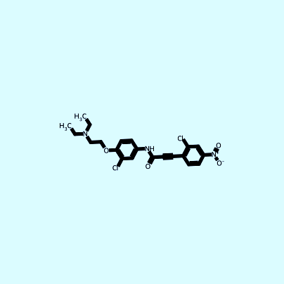 CCN(CC)CCOc1ccc(NC(=O)C#Cc2ccc([N+](=O)[O-])cc2Cl)cc1Cl